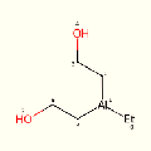 C[CH2][Al]([CH2]CO)[CH2]CO